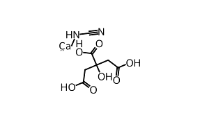 CNC#N.O=C(O)CC(O)(CC(=O)O)C(=O)O.[Ca]